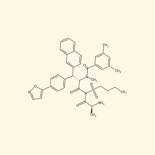 CCCCS(=O)(=O)N(C(=O)[C@H](C)N)C(=O)[C@H](C(c1ccc(-c2ccno2)cc1)c1ccc2ccccc2c1)N(C)C(=O)c1cc(C)cc(C)c1